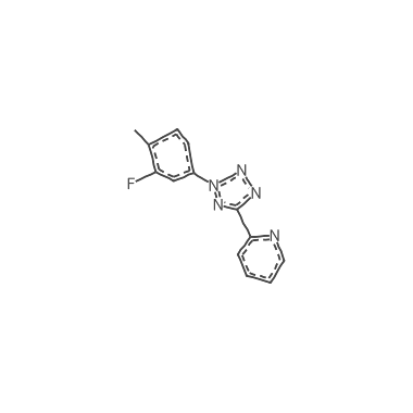 Cc1ccc(-n2nnc(-c3ccccn3)n2)cc1F